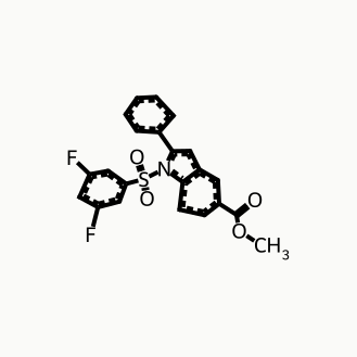 COC(=O)c1ccc2c(c1)cc(-c1ccccc1)n2S(=O)(=O)c1cc(F)cc(F)c1